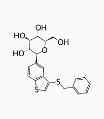 OC[C@H]1O[C@@H](c2ccc3scc(SCc4ccccc4)c3c2)[C@H](O)[C@@H](O)[C@@H]1O